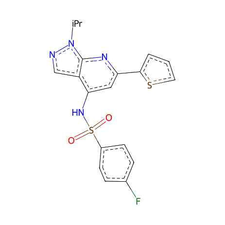 CC(C)n1ncc2c(NS(=O)(=O)c3ccc(F)cc3)cc(-c3cccs3)nc21